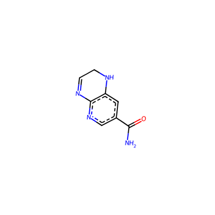 NC(=O)c1cnc2c(c1)NCC=N2